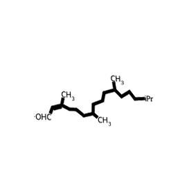 CC(=C[C]=O)CCCC(C)CCCC(C)CCCC(C)C